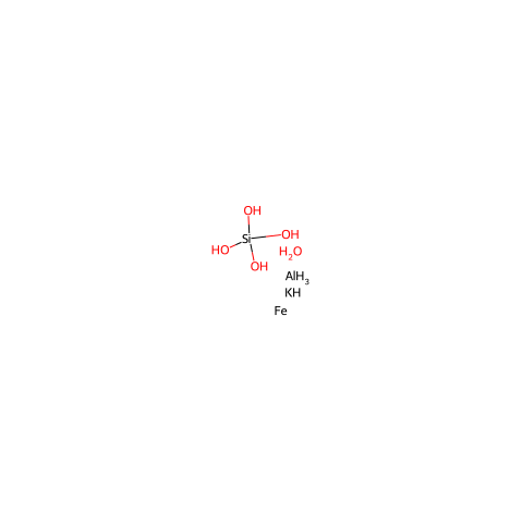 O.O[Si](O)(O)O.[AlH3].[Fe].[KH]